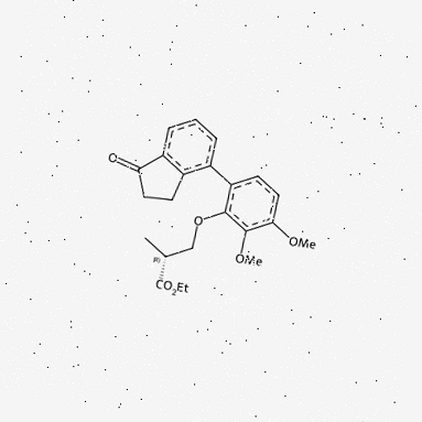 CCOC(=O)[C@H](C)COc1c(-c2cccc3c2CCC3=O)ccc(OC)c1OC